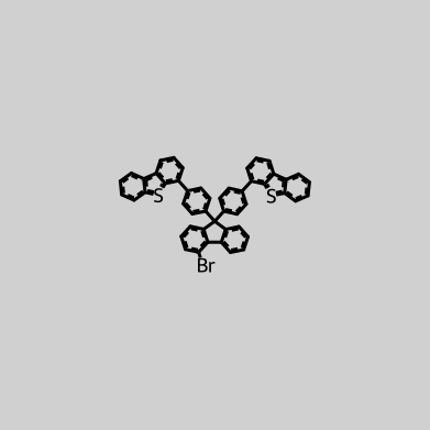 Brc1cccc2c1-c1ccccc1C2(c1ccc(-c2cccc3c2sc2ccccc23)cc1)c1ccc(-c2cccc3c2sc2ccccc23)cc1